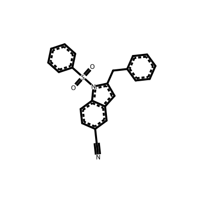 N#Cc1ccc2c(c1)cc(Cc1ccccc1)n2S(=O)(=O)c1ccccc1